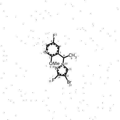 COc1ncc(F)cc1C(C)n1cc(Br)c(F)n1